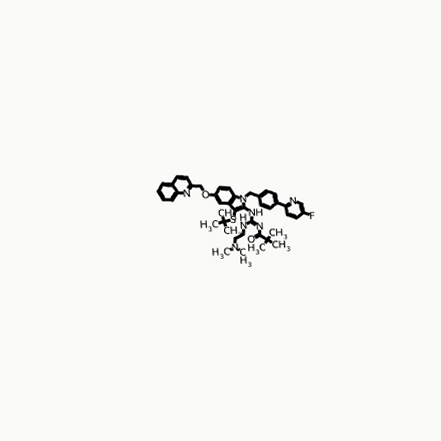 CN(C)CCNC(=NC(=O)C(C)(C)C)Nc1c(SC(C)(C)C)c2cc(OCc3ccc4ccccc4n3)ccc2n1Cc1ccc(-c2ccc(F)cn2)cc1